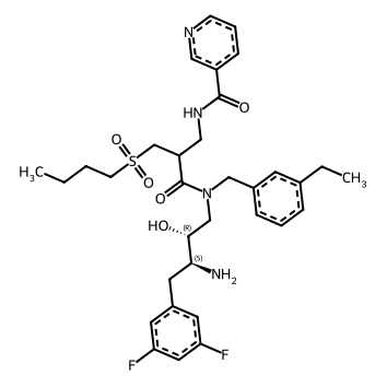 CCCCS(=O)(=O)CC(CNC(=O)c1cccnc1)C(=O)N(Cc1cccc(CC)c1)C[C@@H](O)[C@@H](N)Cc1cc(F)cc(F)c1